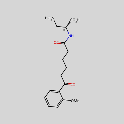 COc1ccccc1C(=O)CCCCC(=O)N[C@@H](CS(=O)(=O)O)C(=O)O